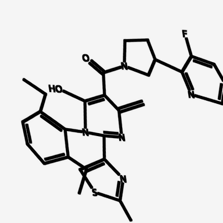 C=C1N=C(c2csc(C)n2)N(c2c(CC)cccc2CC)C(O)=C1C(=O)N1CCC(c2ncccc2F)C1